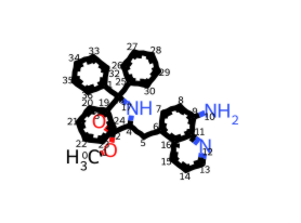 COC(=O)C(Cc1ccc(N)c2ncccc12)NC(c1ccccc1)(c1ccccc1)c1ccccc1